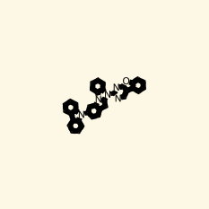 c1ccc2c(c1)oc1nc(-n3c4ccccc4n4c5cc(-n6c7ccccc7c7ccccc76)ccc5cc34)ncc12